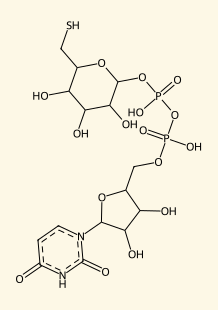 O=c1ccn(C2OC(COP(=O)(O)OP(=O)(O)OC3OC(CS)C(O)C(O)C3O)C(O)C2O)c(=O)[nH]1